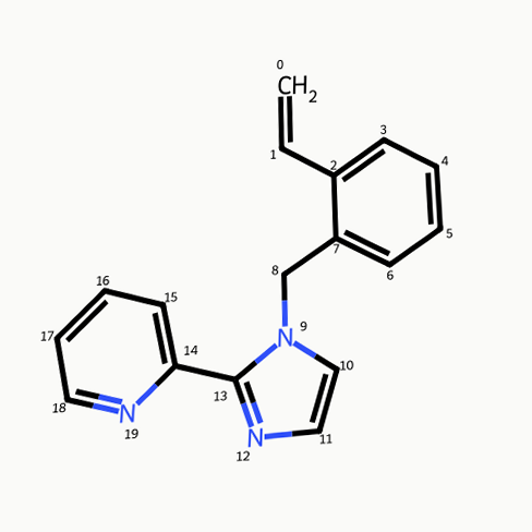 C=Cc1ccccc1Cn1ccnc1-c1ccccn1